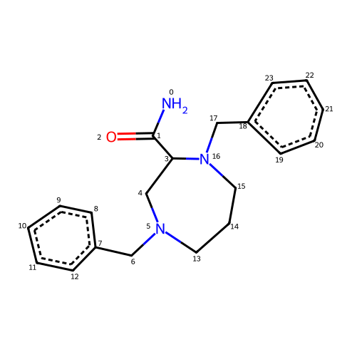 NC(=O)C1CN(Cc2ccccc2)CCCN1Cc1ccccc1